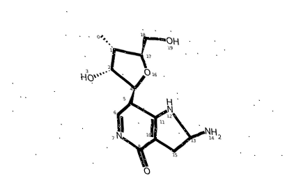 C[C@H]1[C@@H](O)[C@H](C2C=NC(=O)C3=C2NC(N)C3)O[C@@H]1CO